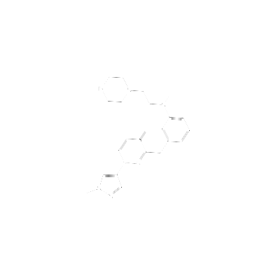 Cn1cc(-n2ccc(=O)c(Cc3cccc(N(CCN4CCNCC4)C(=O)O)c3)n2)cn1